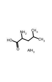 CC(C)CC(N)C(=O)O.[AlH3]